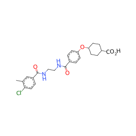 Cc1cc(C(=O)NCCNC(=O)c2ccc(OC3CCC(C(=O)O)CC3)cc2)ccc1Cl